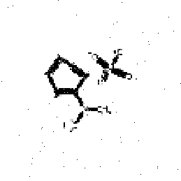 CN(C)c1ccccc1.O=S(=O)(Cl)Cl